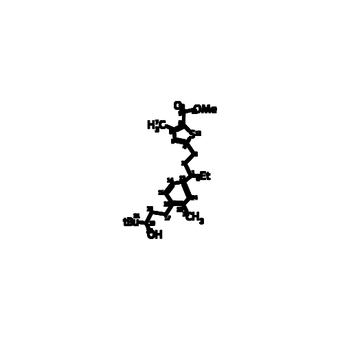 CCC(CCc1cc(C)c(C(=O)OC)s1)c1ccc(CCC(O)C(C)(C)C)c(C)c1